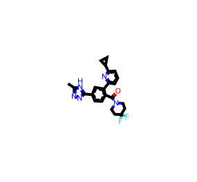 Cc1nnc(-c2ccc(C(=O)N3CCC(F)(F)CC3)c(-c3cccc(C4CC4)n3)c2)[nH]1